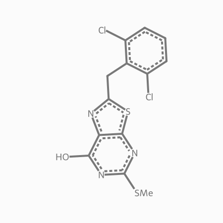 CSc1nc(O)c2nc(Cc3c(Cl)cccc3Cl)sc2n1